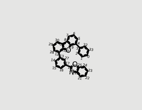 c1ccc(-c2cccc3c2oc2c(-c4cccc(-c5nc6ccccc6o5)c4)cccc23)cc1